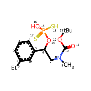 CCc1cccc(C(CN(C)C(=O)OC(C)(C)C)OP(O)(=S)S)c1